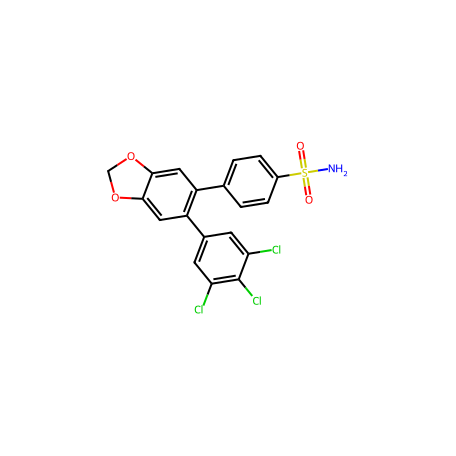 NS(=O)(=O)c1ccc(-c2cc3c(cc2-c2cc(Cl)c(Cl)c(Cl)c2)OCO3)cc1